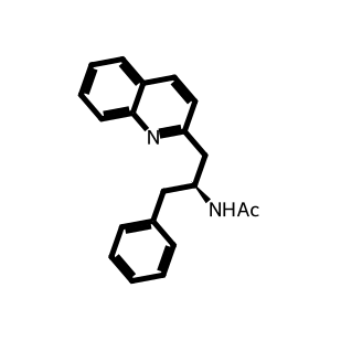 CC(=O)N[C@@H](Cc1ccccc1)Cc1ccc2ccccc2n1